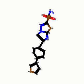 NS(=O)(=O)c1nn2cc(-c3ccc(-c4ccsc4)cc3)nc2s1